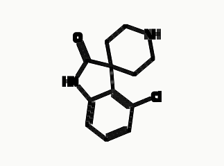 O=C1Nc2cccc(Cl)c2C12CCNCC2